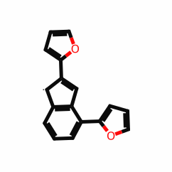 [CH]1C(c2ccco2)=Cc2c1cccc2-c1ccco1